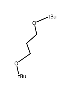 CC(C)(C)OCCCOC(C)(C)C